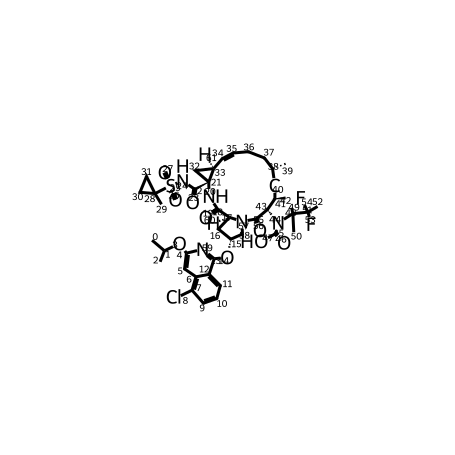 CC(C)Oc1cc2c(Cl)cccc2c(O[C@@H]2C[C@H]3C(=O)N[C@]4(C(=O)NS(=O)(=O)C5(C)CC5)C[C@H]4/C=C\CC[C@H](C)C[C@@H](C)[C@H](N(C(=O)O)C(C)(C)C(C)(F)F)C(=O)N3C2)n1